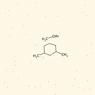 CC1CCCC(C)C1.COC(C)=O